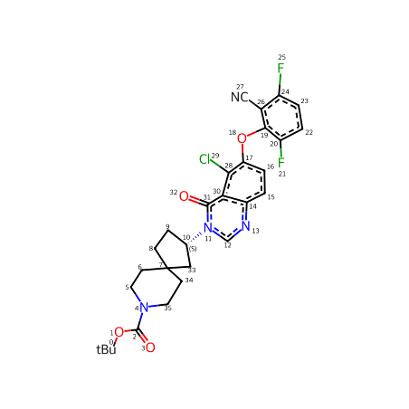 CC(C)(C)OC(=O)N1CCC2(CC[C@H](n3cnc4ccc(Oc5c(F)ccc(F)c5C#N)c(Cl)c4c3=O)C2)CC1